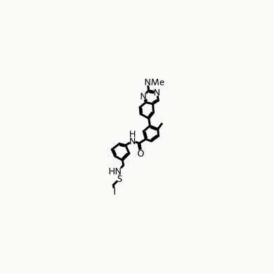 CNc1ncc2cc(-c3cc(C(=O)Nc4cccc(CNSCI)c4)ccc3C)ccc2n1